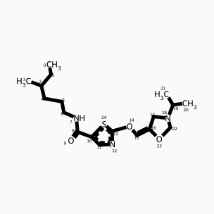 CCC(C)CCCNC(=O)c1cnc(OC=C2CN(C(C)C)CO2)s1